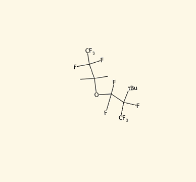 CC(C)(C)C(F)(C(F)(F)F)C(F)(F)OC(C)(C)C(F)(F)C(F)(F)F